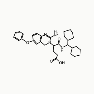 NC1=Nc2ccc(Oc3ccccc3)cc2CN1C(CCC(=O)O)C(=O)NC(C1CCCCC1)C1CCCCC1